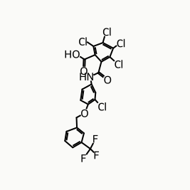 O=C(O)c1c(Cl)c(Cl)c(Cl)c(Cl)c1C(=O)Nc1ccc(OCc2cccc(C(F)(F)F)c2)c(Cl)c1